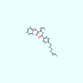 C=C(CC(=O)c1ccc(CCCCC)cc1)C(=O)Oc1ccccc1